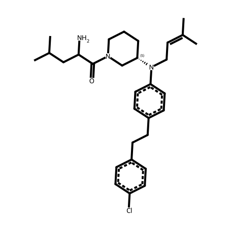 CC(C)=CCN(c1ccc(CCc2ccc(Cl)cc2)cc1)[C@H]1CCCN(C(=O)C(N)CC(C)C)C1